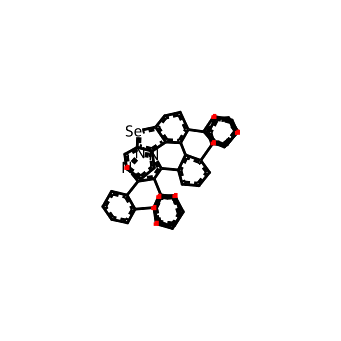 c1ccc(-c2ccccc2-c2nnnc(-c3cccc(-c4ccccc4)c3-c3c(-c4ccccc4)ccc4[se]c5ccccc5c34)c2-c2ccccc2)cc1